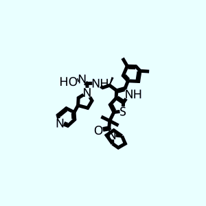 Cc1cc(C)cc(-c2[nH]c3sc(C(C)(C)C(=O)N4C5CCC4CC5)cc3c2[C@H](C)CN/C(=N/O)N2CCC(c3ccncc3)C2)c1